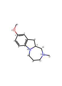 COc1ccc2c(c1)CC1CN(C)CCCN21